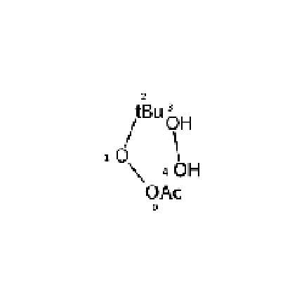 CC(=O)OOC(C)(C)C.OO